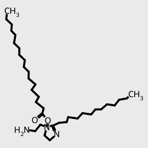 CCCCCCCCCCCCCCCCCC(=O)O[N+]1(CCN)CCN=C1CCCCCCCCCCCCC